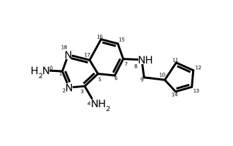 Nc1nc(N)c2cc(NCC3C=CC=C3)ccc2n1